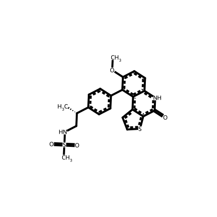 COc1ccc2[nH]c(=O)c3sccc3c2c1-c1ccc([C@@H](C)CNS(C)(=O)=O)cc1